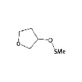 CSOC1CCOC1